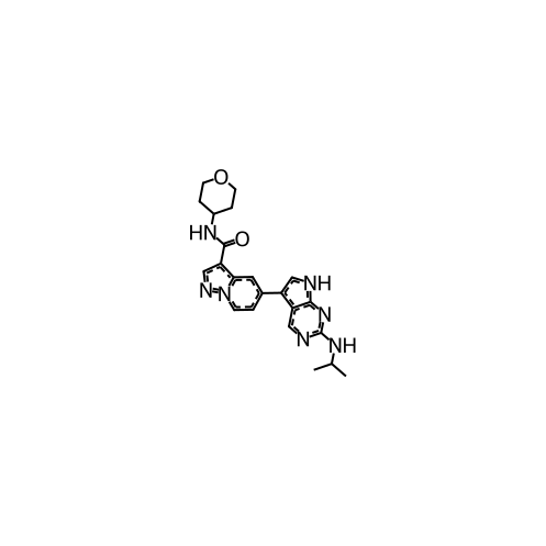 CC(C)Nc1ncc2c(-c3ccn4ncc(C(=O)NC5CCOCC5)c4c3)c[nH]c2n1